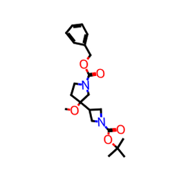 COC1(C2CN(C(=O)OC(C)(C)C)C2)CCN(C(=O)OCc2ccccc2)C1